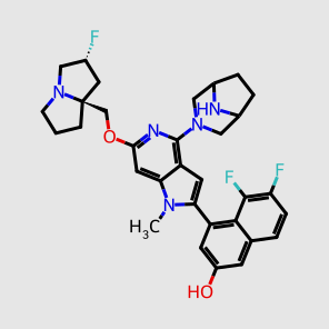 Cn1c(-c2cc(O)cc3ccc(F)c(F)c23)cc2c(N3CC4CCC(C3)N4)nc(OC[C@@]34CCCN3C[C@H](F)C4)cc21